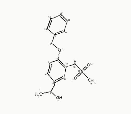 CC(O)c1ccc(OCc2ccccc2)c(NS(C)(=O)=O)c1